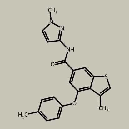 Cc1ccc(Oc2cc(C(=O)Nc3ccn(C)n3)cc3scc(C)c23)cc1